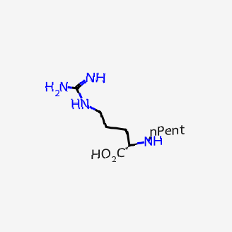 CCCCCN[C@@H](CCCNC(=N)N)C(=O)O